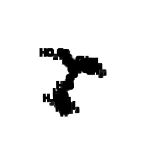 CC1=C(C)C(=O)C(C(C)(C)CC(=O)N(C)CCN(CCOCCOCCC(=O)NCCCNC(=O)CC[C@H](C)[C@@H]2CC[C@@H]3[C@H]4CC[C@H]5CCCC[C@@]5(C)C4CC[C@]32C)C(=O)Oc2ccc3nc(C4=NC(C(=O)O)CS4)sc3c2)=C(C)C1=O